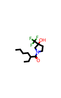 CCCCC(CC)C(=O)N1CCC(O)(C(F)(F)F)C1